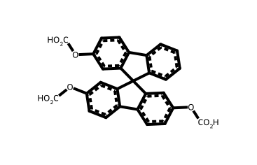 O=C(O)Oc1ccc2c(c1)C1(c3ccccc3-2)c2cc(OC(=O)O)ccc2-c2ccc(OC(=O)O)cc21